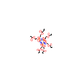 C=CC(=O)OCCOP1(OCCOC(=O)C=C)=NP(OCCOC(=O)C=C)(OCCOC(=O)C=C)=NP(OCCOC(=O)C=C)(OCCOC(=O)C=C)=N1